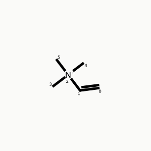 C=C[N+](C)(C)C